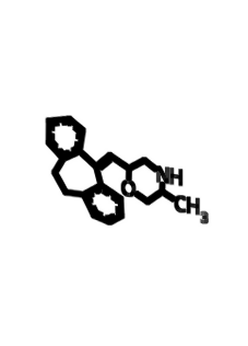 CC1COC(C=C2c3ccccc3CCc3ccccc32)CN1